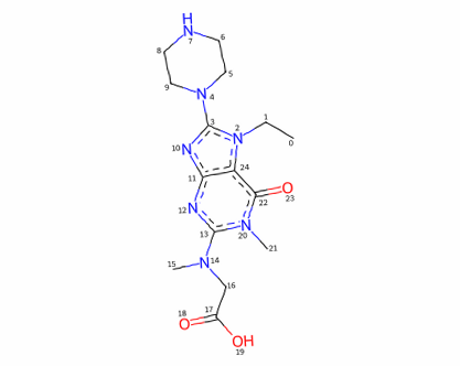 CCn1c(N2CCNCC2)nc2nc(N(C)CC(=O)O)n(C)c(=O)c21